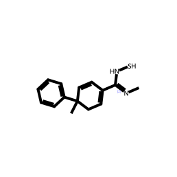 C/N=C(\NS)C1=CCC(C)(c2ccccc2)C=C1